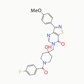 COc1ccc(-c2nsc3c(=O)n(CC4(O)CCN(C(=O)c5ccc(F)cc5)CC4)cnc23)cc1